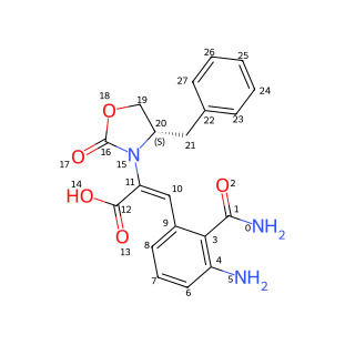 NC(=O)c1c(N)cccc1C=C(C(=O)O)N1C(=O)OC[C@@H]1Cc1ccccc1